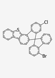 Clc1ccc2c(c1)C1(c3ccccc3-c3c(Br)cccc31)c1ccc3c(sc4ccccc43)c1-2